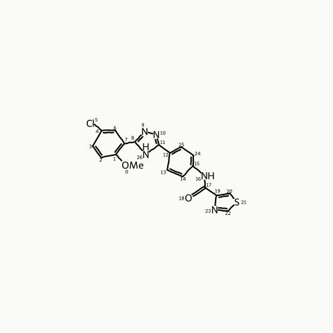 COc1ccc(Cl)cc1-c1nnc(-c2ccc(NC(=O)c3cscn3)cc2)[nH]1